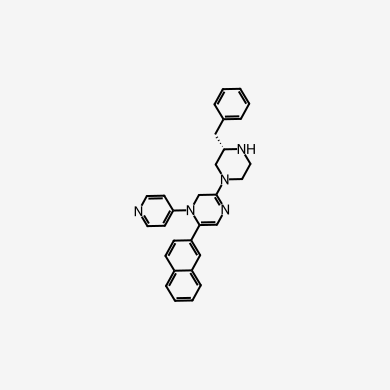 C1=C(c2ccc3ccccc3c2)N(c2ccncc2)CC(N2CCN[C@@H](Cc3ccccc3)C2)=N1